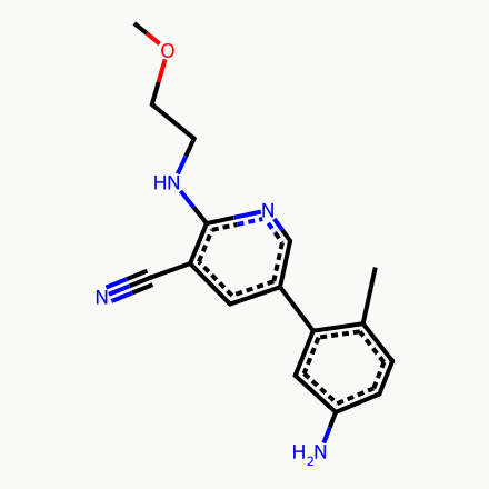 COCCNc1ncc(-c2cc(N)ccc2C)cc1C#N